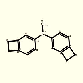 CN(c1ccc2c(c1)CC2)c1ccc2c(c1)CC2